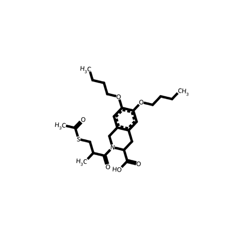 CCCCOc1cc2c(cc1OCCCC)CN(C(=O)C(C)CSC(C)=O)C(C(=O)O)C2